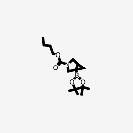 CCCCOC(=O)N1CC2CC2(B2OC(C)(C)C(C)(C)O2)C1